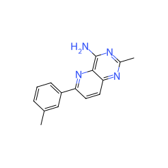 Cc1cccc(-c2ccc3nc(C)nc(N)c3n2)c1